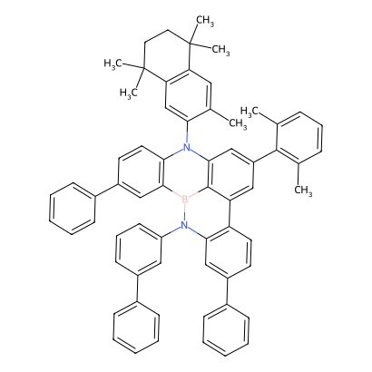 Cc1cc2c(cc1N1c3ccc(-c4ccccc4)cc3B3c4c(cc(-c5c(C)cccc5C)cc41)-c1ccc(-c4ccccc4)cc1N3c1cccc(-c3ccccc3)c1)C(C)(C)CCC2(C)C